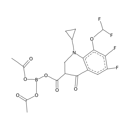 CC(=O)OB(OC(C)=O)OC(=O)C1CN(C2CC2)c2c(cc(F)c(F)c2OC(F)F)C1=O